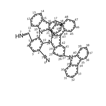 N#Cc1ccc(C=N)c(-n2c3ccccc3c3ccccc32)c1-n1c2ccc(-n3c4ccccc4c4ccccc43)cc2c2c3ccccc3ccc21